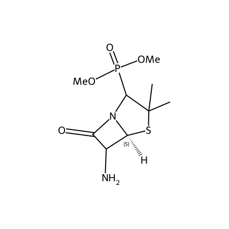 COP(=O)(OC)C1N2C(=O)C(N)[C@@H]2SC1(C)C